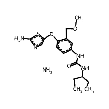 CCC(CC)NC(=O)Nc1ccc(Oc2cnc(N)s2)c(COC)c1.N